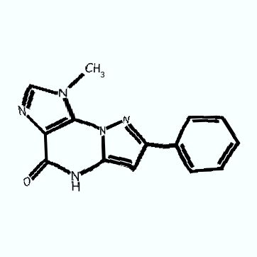 Cn1cnc2c(=O)[nH]c3cc(-c4ccccc4)nn3c21